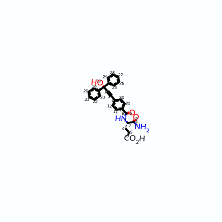 NC(=O)[C@H](CCC(=O)O)NC(=O)c1ccc(C#CC(O)(c2ccccc2)c2ccccc2)cc1